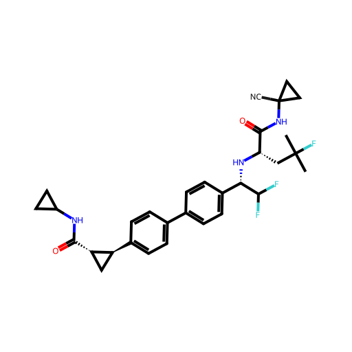 CC(C)(F)C[C@H](N[C@@H](c1ccc(-c2ccc([C@H]3C[C@@H]3C(=O)NC3CC3)cc2)cc1)C(F)F)C(=O)NC1(C#N)CC1